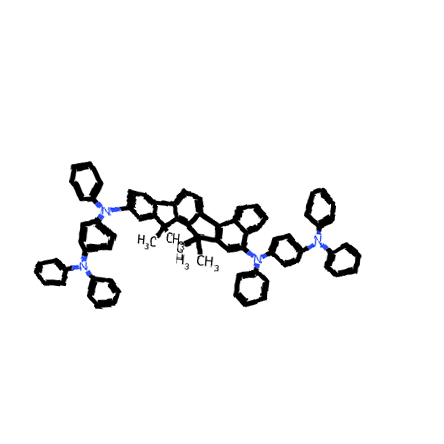 CC1(C)c2cc(N(c3ccccc3)c3ccc(N(c4ccccc4)c4ccccc4)cc3)ccc2-c2ccc3c(c21)C(C)(C)c1cc(N(c2ccccc2)c2ccc(N(c4ccccc4)c4ccccc4)cc2)c2ccccc2c1-3